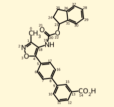 Cc1noc(-c2ccc(-c3cccc(C(=O)O)c3)cc2)c1NC(=O)OC1CCc2ccccc21